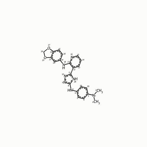 CN(C)c1ccc(Nc2nnc(-c3cccnc3Nc3ccc4c(c3)OCO4)[nH]2)cc1